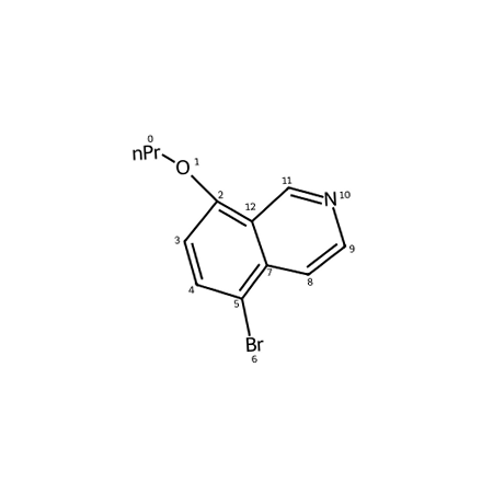 CCCOc1ccc(Br)c2ccncc12